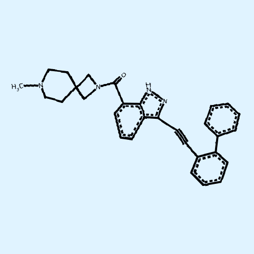 CN1CCC2(CC1)CN(C(=O)c1cccc3c(C#Cc4ccccc4-c4ccccc4)n[nH]c13)C2